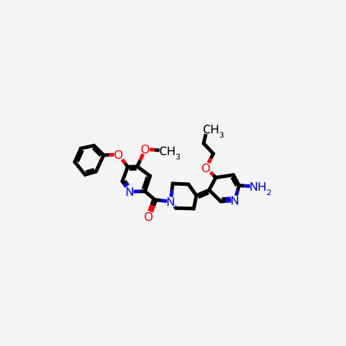 CCCOC1C=C(N)N=CC1=C1CCN(C(=O)c2cc(OC)c(Oc3ccccc3)cn2)CC1